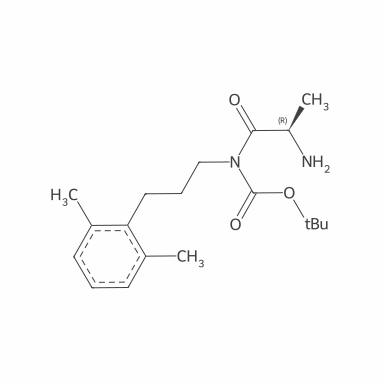 Cc1cccc(C)c1CCCN(C(=O)OC(C)(C)C)C(=O)[C@@H](C)N